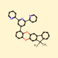 CC1(C)c2ccccc2-c2cc3c(cc21)Oc1cccc(-c2cc(-c4ccccn4)nc(-c4ccccn4)c2)c1O3